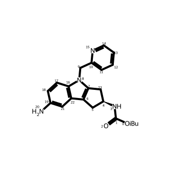 CC(C)COC(=O)N[C@H]1Cc2c(n(Cc3ccccn3)c3ccc(N)cc23)C1